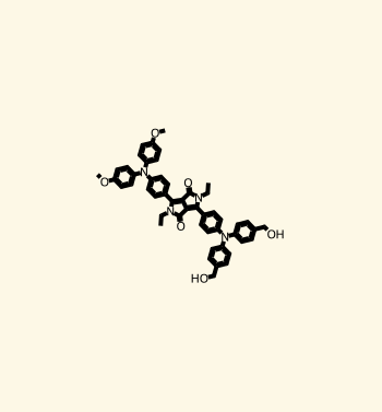 CCN1C(=O)C2=C(c3ccc(N(c4ccc(OC)cc4)c4ccc(OC)cc4)cc3)N(CC)C(=O)C2=C1c1ccc(N(c2ccc(CO)cc2)c2ccc(CO)cc2)cc1